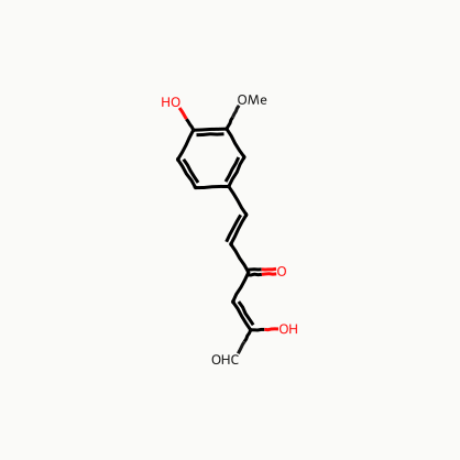 COc1cc(/C=C/C(=O)/C=C(\O)C=O)ccc1O